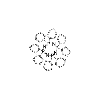 c1ccc(P2(c3ccccc3)=NP(c3ccccc3)(c3ccccc3)=NP(c3ccccc3)(c3ccccc3)=NP(c3ccccc3)(c3ccccc3)=N2)cc1